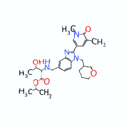 Cc1cc(-c2nc3cc(CNC(C(=O)OC(C)C)C(C)O)ccc3n2CC2CCCOC2)cn(C)c1=O